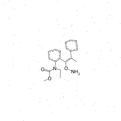 CCN(C(=O)OC)c1ccccc1/C(ON)=C(/C)c1ccccc1